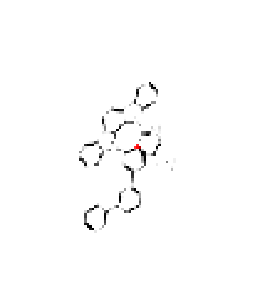 N#Cc1ccc(-n2c3ccccc3c3ccc4c5ccccc5n(-c5cccc(-c6cccc(-c7ccccc7)c6)c5)c4c32)nc1